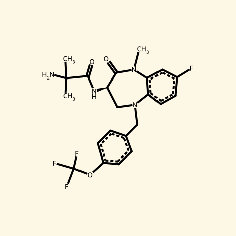 CN1C(=O)[C@H](NC(=O)C(C)(C)N)CN(Cc2ccc(OC(F)(F)F)cc2)c2ccc(F)cc21